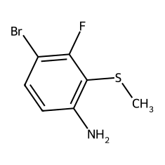 CSc1c(N)ccc(Br)c1F